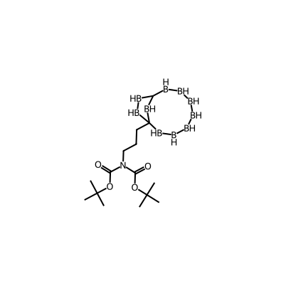 CC(C)(C)OC(=O)N(CCCC12BBBBBBBC(BB1)B2)C(=O)OC(C)(C)C